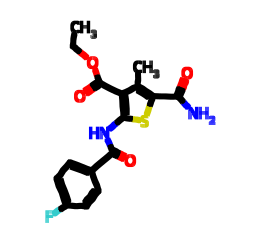 CCOC(=O)c1c(NC(=O)c2ccc(F)cc2)sc(C(N)=O)c1C